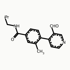 Cc1cc(C(=O)NCC(C)C)ccc1-c1ccncc1C=O